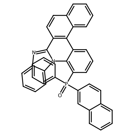 O=P(c1ccccc1)(c1ccc2ccccc2c1)c1cccc2c3c4ccccc4ccc3c3nc4ccccc4n3c12